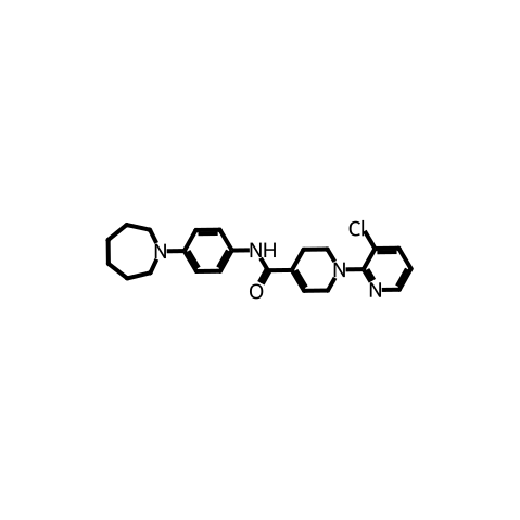 O=C(Nc1ccc(N2CCCCCC2)cc1)C1=CCN(c2ncccc2Cl)CC1